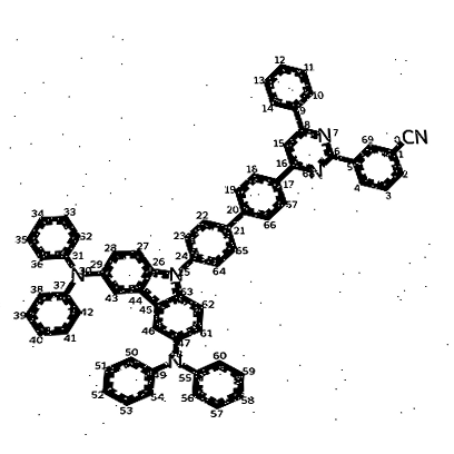 N#Cc1cccc(-c2nc(-c3ccccc3)cc(-c3ccc(-c4ccc(-n5c6ccc(N(c7ccccc7)c7ccccc7)cc6c6cc(N(c7ccccc7)c7ccccc7)ccc65)cc4)cc3)n2)c1